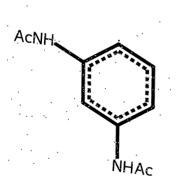 CC(=O)Nc1[c]ccc(NC(C)=O)c1